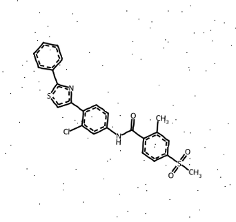 Cc1cc(S(C)(=O)=O)ccc1C(=O)Nc1ccc(-c2csc(-c3ccccc3)n2)c(Cl)c1